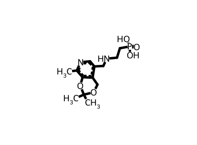 Cc1ncc(CNCCP(=O)(O)O)c2c1OC(C)(C)OC2